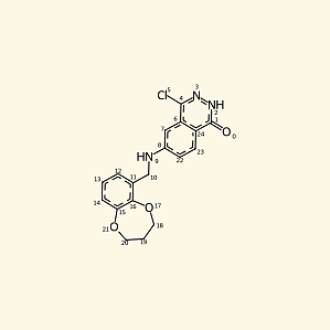 O=c1[nH]nc(Cl)c2cc(NCc3cccc4c3OCCCO4)ccc12